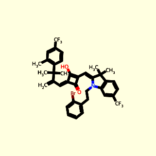 C=C(/C=C1/C(=O)C(/C=C2\N(CCc3ccccc3Br)c3cc(C(F)(F)F)ccc3C2(C)C)=C1O)C(C)(C)c1ccc(C(F)(F)F)cc1C